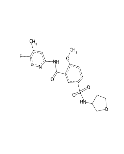 COc1ccc(S(=O)(=O)NC2CCOC2)cc1C(=O)Nc1cc(C)c(F)cn1